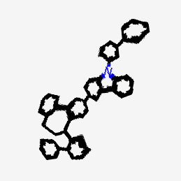 c1ccc(-c2cccc(-n3c4ccccc4c4cc(-c5ccc6c(c5)-c5ccccc5CCC6c5ccccc5-c5ccccc5)ccc43)c2)cc1